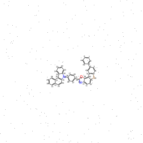 c1ccc(-c2ccc3sc4ccc5nc(-c6ccc(-n7c8ccccc8c8c9ccccc9ccc87)cc6)oc5c4c3c2)cc1